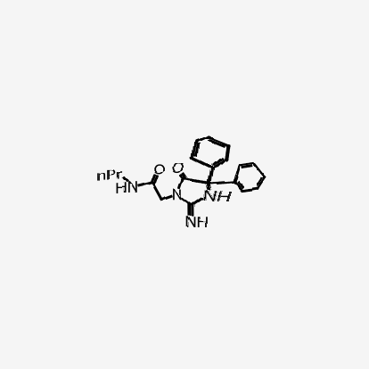 CCCNC(=O)CN1C(=N)NC(c2ccccc2)(c2ccccc2)C1=O